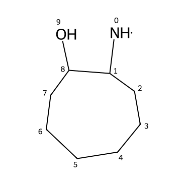 [NH]C1CCCCCCC1O